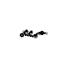 CC(C)(C)OC(=O)N(CCCN(C(=O)OC(C)(C)C)C1CCCCC1)CCCn1cc(CNCc2ccc(C#N)cc2)nn1